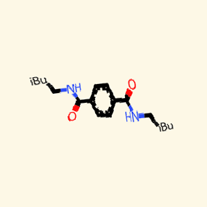 CCC(C)CNC(=O)c1ccc(C(=O)NCC(C)CC)cc1